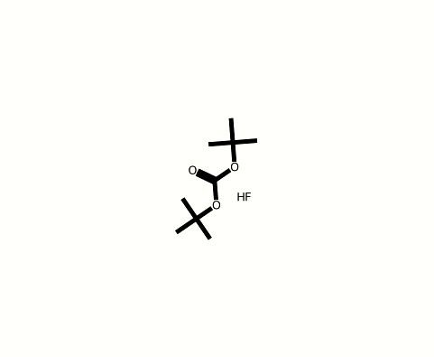 CC(C)(C)OC(=O)OC(C)(C)C.F